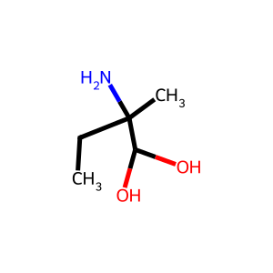 CCC(C)(N)C(O)O